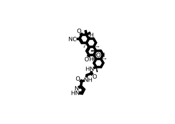 CC1(C)C(=O)C(C#N)=C[C@]2(C)C3=CC(=O)[C@]4(O)[C@@H]5C[C@@](C)(NC(=O)CNC(=O)c6cc[nH]n6)CC[C@]5(C)CC[C@@]4(C)[C@]3(C)CC[C@@H]12